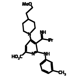 COCCC1CCN(c2cc(C(=O)O)nc(Nc3cccc(C)c3)c2C(=N)C(C)C)CC1